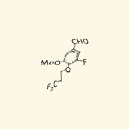 COc1cc(C=O)cc(F)c1OCCC(F)(F)F